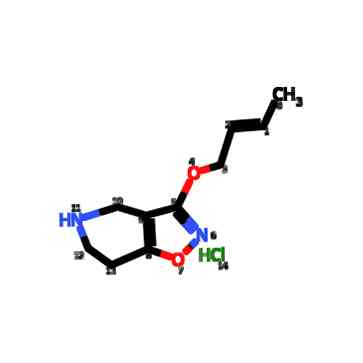 CC=CCOc1noc2c1CNCC2.Cl